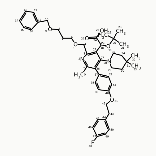 Cc1nc(COCCCOCc2ccccc2)c([C@H](OC(C)(C)C)C(=O)O)c(N2CCC(C)(C)CC2)c1-c1ccc(OCCc2ccc(F)cc2)cc1